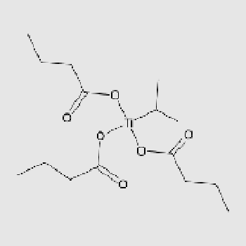 CCCC(=O)[O][Ti]([O]C(=O)CCC)([O]C(=O)CCC)[CH](C)C